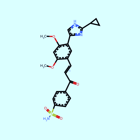 COc1cc(OC)c(-c2c[nH]c(C3CC3)n2)cc1/C=C/C(=O)c1ccc(S(N)(=O)=O)cc1